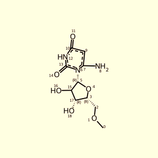 COC[C@H]1O[C@@H](n2c(N)cc(=O)[nH]c2=O)C(O)[C@H]1O